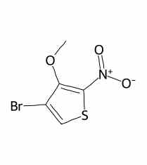 COc1c(Br)csc1[N+](=O)[O-]